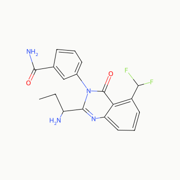 CCC(N)c1nc2cccc(C(F)F)c2c(=O)n1-c1cccc(C(N)=O)c1